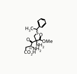 COC(=O)[C@@](N)(CSC(C)c1ccccc1)C(=O)[C@@H](N)CC(=O)O